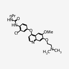 CCCNC(=O)Nc1ccc(Oc2ccnc3cc(OCCN(C)C)c(OC)cc23)cc1Cl